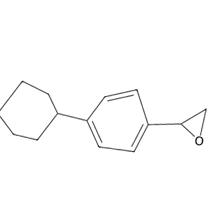 c1cc(C2CO2)ccc1C1CCCCC1